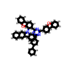 c1ccc(-c2ccc(-c3nc(-c4ccc5c(c4)oc4ccccc45)nc(-c4ccc5c(oc6ccccc65)c4-n4c5ccccc5c5cc6ccccc6cc54)n3)cc2)cc1